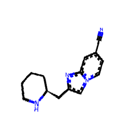 N#Cc1ccn2cc(C[C@@H]3CCCCN3)nc2c1